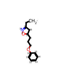 [CH2]CC1=NOC(CCCOc2ccccc2)C1